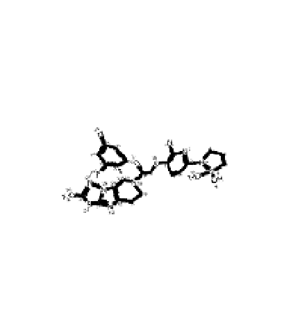 CCc1nc(N2CCCS2(O)O)ccc1OCC(=O)N1CCc2nc3sc(C(F)(F)F)nn3c2[C@@H]1c1ccc(Cl)cc1F